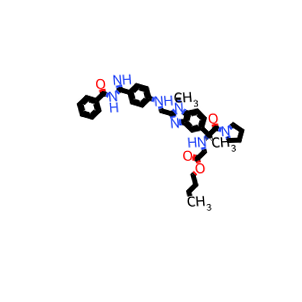 CCCCOC(=O)CN[C@@](C)(C(=O)N1CCCC1)c1ccc2c(c1)nc(CNc1ccc(C(=N)NC(=O)c3ccccc3)cc1)n2C